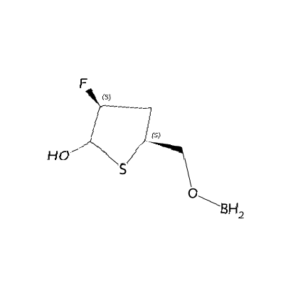 BOC[C@@H]1C[C@H](F)C(O)S1